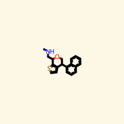 CNCC1OCC(c2cccc3ccccc23)c2ccsc21